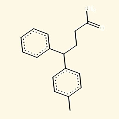 Cc1ccc(C(CCC(N)=O)c2ccccc2)cc1